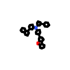 c1ccc(-c2cccc(N(c3ccc(-c4ccc5c(c4)oc4ccccc45)cc3)c3cccc(-c4cccc5ccccc45)c3)c2)cc1